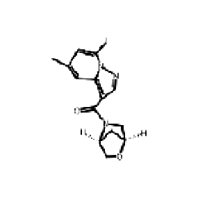 Cc1cc(I)n2ncc(C(=O)N3C[C@@H]4C[C@H]3CO4)c2c1